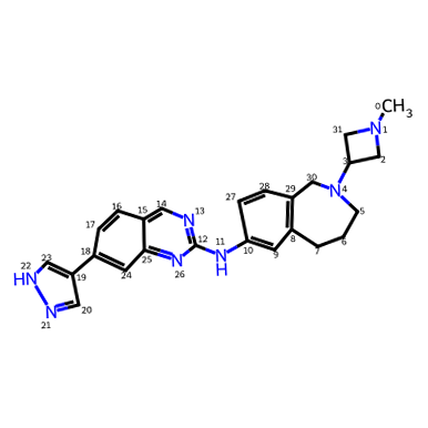 CN1CC(N2CCCc3cc(Nc4ncc5ccc(-c6cn[nH]c6)cc5n4)ccc3C2)C1